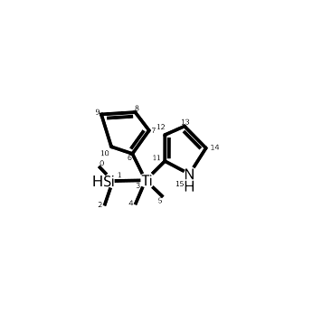 C[SiH](C)[Ti]([CH3])([CH3])([C]1=CC=CC1)[c]1ccc[nH]1